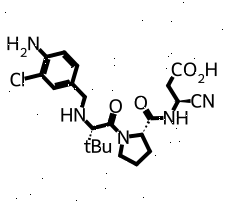 CC(C)(C)[C@H](NCc1ccc(N)c(Cl)c1)C(=O)N1CCC[C@H]1C(=O)N[C@H](C#N)CC(=O)O